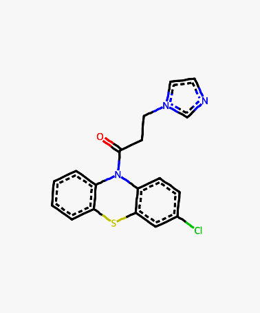 O=C(CCn1ccnc1)N1c2ccccc2Sc2cc(Cl)ccc21